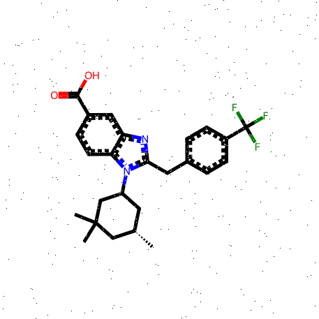 C[C@H]1CC(n2c(Cc3ccc(C(F)(F)F)cc3)nc3cc(C(=O)O)ccc32)CC(C)(C)C1